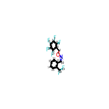 Fc1c(F)c(F)c(CO/N=[C]\c2ccccc2C(F)F)c(F)c1F